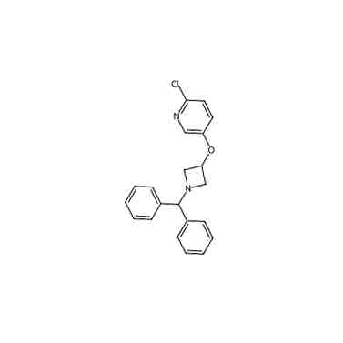 Clc1ccc(OC2CN(C(c3ccccc3)c3ccccc3)C2)cn1